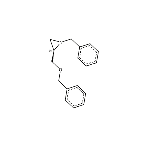 c1ccc(COC[C@H]2CN2Cc2ccccc2)cc1